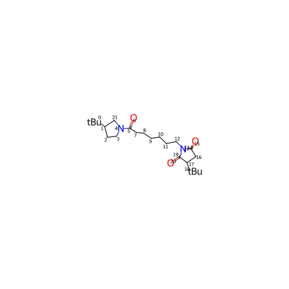 CC(C)(C)C1CCN(C(=O)CCCCCCN2C(=O)CC(C(C)(C)C)C2=O)C1